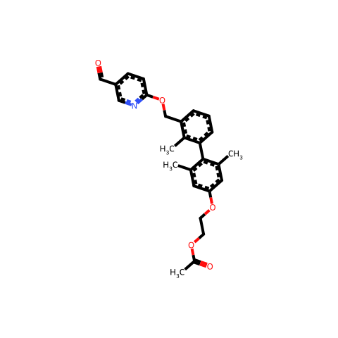 CC(=O)OCCOc1cc(C)c(-c2cccc(COc3ccc(C=O)cn3)c2C)c(C)c1